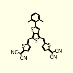 Cc1cccc(C)c1-c1cc2c(/C=c3\ccc(=C(C#N)C#N)s3)sc(/C=c3\ccc(=C(C#N)C#N)s3)c2s1